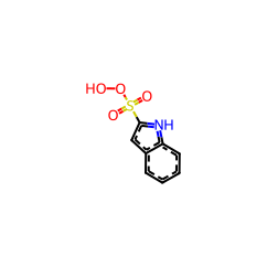 O=S(=O)(OO)c1cc2ccccc2[nH]1